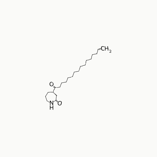 C=CCCCCCCCCCCCCCC(=O)C1CCCNC(=O)C1